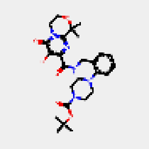 CC(C)(C)OC(=O)N1CCN(c2ccccc2CNC(=O)c2nc3n(c(=O)c2O)CCOC3(C)C)CC1